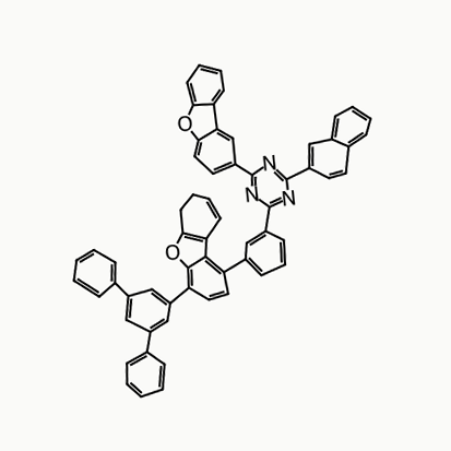 C1=Cc2c(oc3c(-c4cc(-c5ccccc5)cc(-c5ccccc5)c4)ccc(-c4cccc(-c5nc(-c6ccc7ccccc7c6)nc(-c6ccc7oc8ccccc8c7c6)n5)c4)c23)CC1